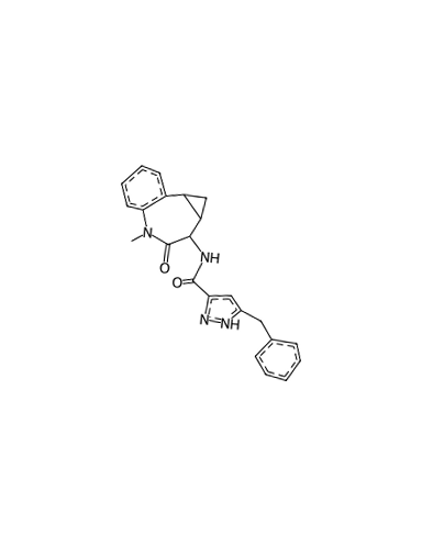 CN1C(=O)C(NC(=O)c2cc(Cc3ccccc3)[nH]n2)C2CC2c2ccccc21